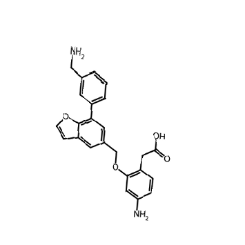 NCc1cccc(-c2cc(COc3cc(N)ccc3CC(=O)O)cc3ccoc23)c1